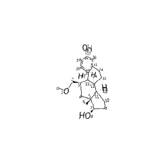 COC[C@@H]1C[C@@]2(C)[C@H](O)CC[C@@H]2[C@@H]2CCc3cc(O)ccc3[C@H]12